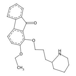 CCOc1ccc2c(c1OCCCC1CCCCN1)C(=O)c1ccccc1-2